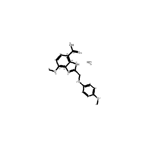 COc1ccc(OCc2nc3c(OC)ccc(C(=O)O)c3[nH]2)cc1.Cl